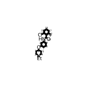 CCN1CCC(Oc2cccc(NC(=O)c3c(F)cccc3Cl)c2)CC1